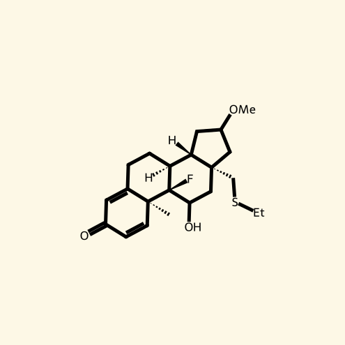 CCSC[C@@]12CC(OC)C[C@H]1[C@@H]1CCC3=CC(=O)C=C[C@]3(C)[C@@]1(F)C(O)C2